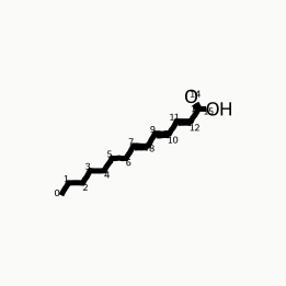 CCCCCCC/C=C/C=C/C=C/C(=O)O